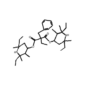 CCC1(C)CC(OC(=O)C(CC)(Cc2ccccc2)C(=O)OC2CC(C)(CC)NC(C)(CC)C2C)C(C)C(C)(CC)N1